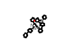 c1ccc(-c2ccc(-c3nc(-c4ccccc4)cc(-n4c5ccccc5c5ccc6c(c7ccccc7n6-c6ccccc6)c54)n3)cc2)cc1